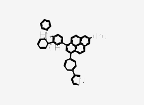 CC(C)(C)c1cc2ccc3c(C4=CC=C(c5cccnc5)CC=C4)cc(-c4ccc5c(c4)C4(C)C=CC=C[C@@H]4N5c4ccccc4)c4ccc(c1)c2c34